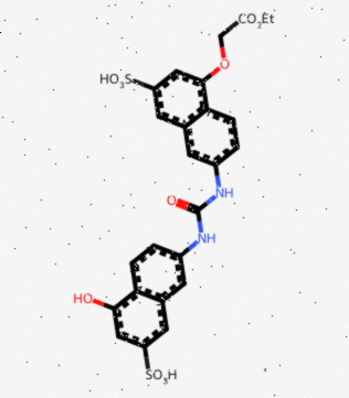 CCOC(=O)COc1cc(S(=O)(=O)O)cc2cc(NC(=O)Nc3ccc4c(O)cc(S(=O)(=O)O)cc4c3)ccc12